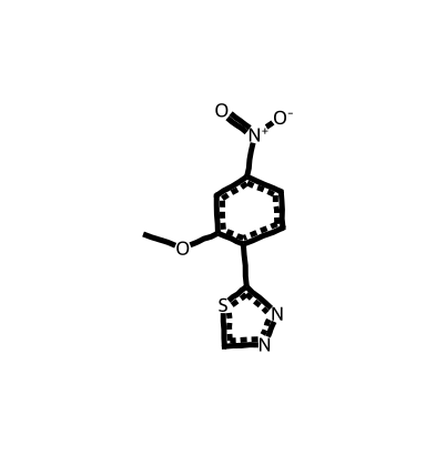 COc1cc([N+](=O)[O-])ccc1-c1nncs1